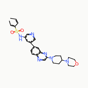 C/C=C\C(=C/C)S(=O)(=O)Nc1cncc(-c2ccc3ncc(N4CCC(N5CCOCC5)CC4)nc3c2)c1